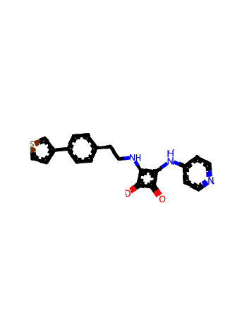 O=c1c(NCCc2ccc(-c3ccsc3)cc2)c(Nc2ccncc2)c1=O